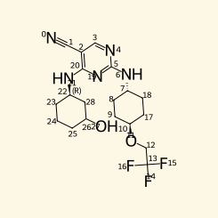 N#Cc1cnc(N[C@H]2CC[C@H](OCC(F)(F)F)CC2)nc1N[C@@H]1CCCC(O)C1